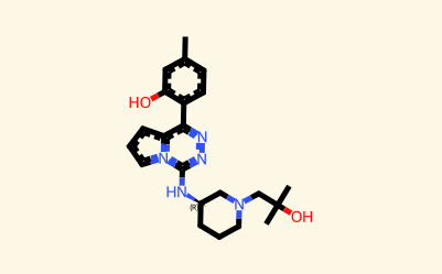 Cc1ccc(-c2nnc(N[C@@H]3CCCN(CC(C)(C)O)C3)n3cccc23)c(O)c1